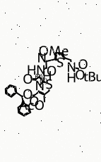 CON=C(C(=O)N[C@@H]1C(=O)N2C(C(=O)OC(c3ccccc3)c3ccccc3)=C(COC(C)=O)CS[C@@H]12)c1ccc(CNC(=O)OC(C)(C)C)s1